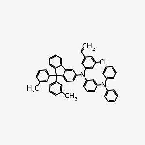 C=Cc1cc(Cl)cc(N(c2cccc(N(c3ccccc3)c3ccccc3)c2)c2ccc3c(c2)-c2ccccc2C3(c2cccc(C)c2)c2cccc(C)c2)c1